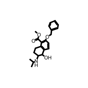 COC(=O)c1c(OCc2ccccc2)ccc2c1CCC(NC(C)C)C2O